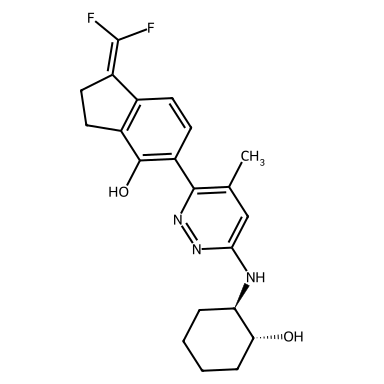 Cc1cc(N[C@@H]2CCCC[C@H]2O)nnc1-c1ccc2c(c1O)CCC2=C(F)F